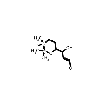 C[Si]1(C)CCC(C(O)C=CO)O[Si]1(C)C